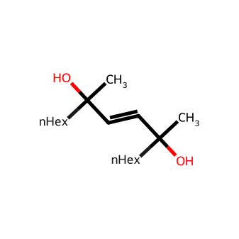 CCCCCCC(C)(O)C=CC(C)(O)CCCCCC